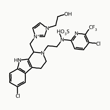 O=S(=O)(O)N(CCN1CCc2c([nH]c3ccc(Cl)cc23)C1C[n+]1ccn(CCO)c1)c1ccc(Cl)c(C(F)(F)F)n1